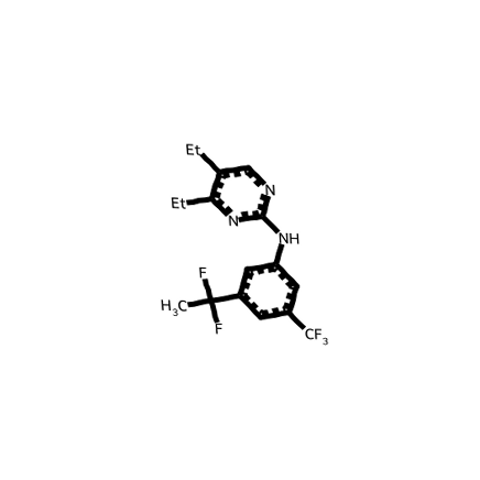 CCc1cnc(Nc2cc(C(C)(F)F)cc(C(F)(F)F)c2)nc1CC